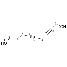 OCC#CCC#CCCCO